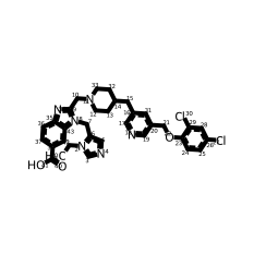 CCn1cncc1Cn1c(CN2CCC(Cc3cncc(COc4ccc(Cl)cc4Cl)c3)CC2)nc2ccc(C(=O)O)cc21